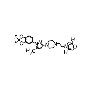 Cc1cc(N2CCN(CCN3C[C@H]4C[C@@H]3CO4)CC2)nn1-c1ccc2c(c1)OC(F)(F)O2